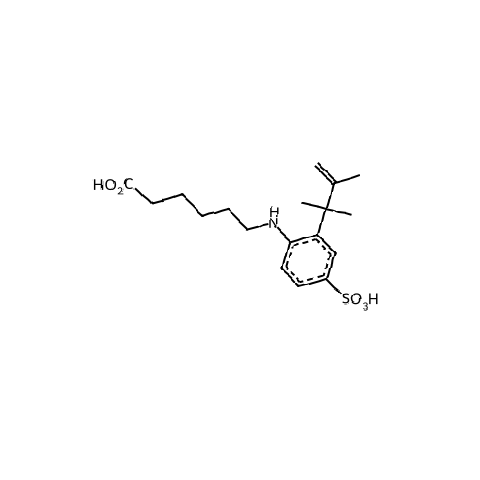 C=C(C)C(C)(C)c1cc(S(=O)(=O)O)ccc1NCCCCCC(=O)O